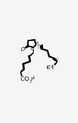 CC/C=C\CC/C=C/[C@H]1CCC(=O)[C@@H]1CCCCCCC(=O)O